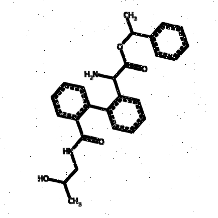 CC(O)CNC(=O)c1ccccc1-c1ccccc1C(N)C(=O)OC(C)c1ccccc1